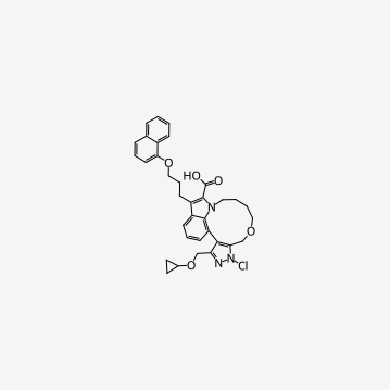 O=C(O)c1c(CCCOc2cccc3ccccc23)c2cccc3c2n1CCCCOCc1c-3c(COC2CC2)nn1Cl